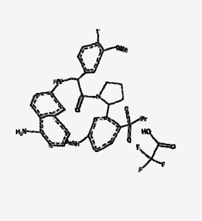 COc1cc(C(Nc2ccc3c(N)nccc3c2)C(=O)N2CCCC2c2cc(NC(C)=O)ccc2S(=O)(=O)C(C)C)ccc1F.O=C(O)C(F)(F)F